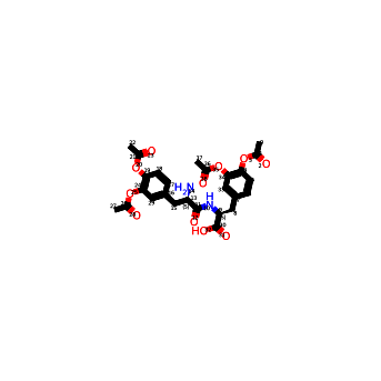 CC(=O)Oc1ccc(C[C@H](NC(=O)[C@@H](N)Cc2ccc(OC(C)=O)c(OC(C)=O)c2)C(=O)O)cc1OC(C)=O